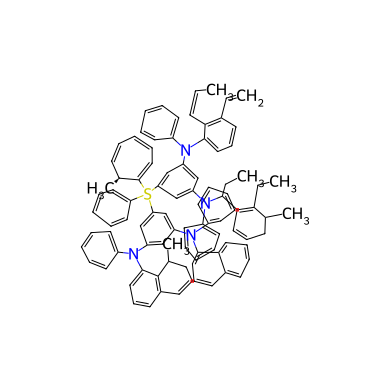 C=Cc1cccc(N(c2ccccc2)c2cc(N(c3ccccc3)C(CC)C3=C(CC)C(C)CC=C3)cc(S(C3=CC=CC=C[C@@H]3C)(c3ccccc3)c3cc(N(c4ccccc4)c4cccc5c4C(C)CC=C5)cc(N(c4ccccc4)c4cccc5ccccc45)c3)c2)c1/C=C\C